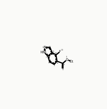 C=C(OCC)c1ccc2[nH]ncc2c1F